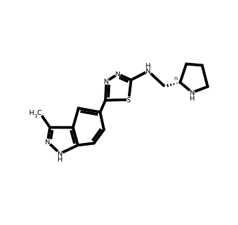 Cc1n[nH]c2ccc(-c3nnc(NC[C@@H]4CCCN4)s3)cc12